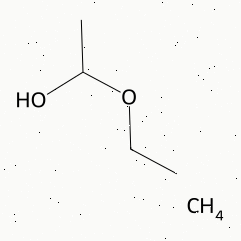 C.CCOC(C)O